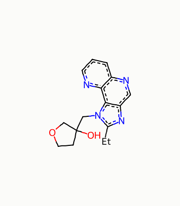 CCc1nc2cnc3cccnc3c2n1CC1(O)CCOC1